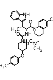 Cc1ccc(OC2CCN(C(=O)N[C@@H](C(=O)N3C[C@@H](CN(C)C)Cc4cc(Cl)ccc43)[C@H](C)c3c[nH]c4ccccc34)CC2)cc1